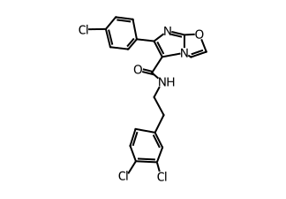 O=C(NCCc1ccc(Cl)c(Cl)c1)c1c(-c2ccc(Cl)cc2)nc2occn12